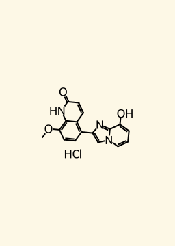 COc1ccc(-c2cn3cccc(O)c3n2)c2ccc(=O)[nH]c12.Cl